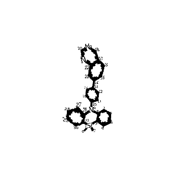 C[Si]1(C)c2ccccc2N(c2ccc(-c3ccc4cncnc4c3)cc2)c2ccccc21